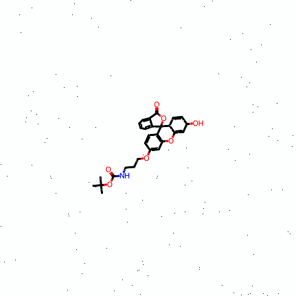 CC(C)(C)OC(=O)NCCCOc1ccc2c(c1)OC1=CC(O)C=CC1C21OC(=O)c2ccccc21